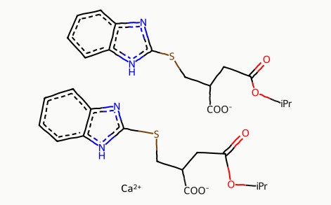 CC(C)OC(=O)CC(CSc1nc2ccccc2[nH]1)C(=O)[O-].CC(C)OC(=O)CC(CSc1nc2ccccc2[nH]1)C(=O)[O-].[Ca+2]